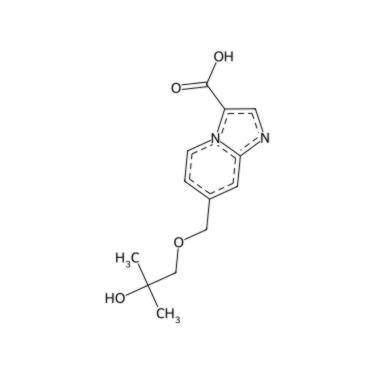 CC(C)(O)COCc1ccn2c(C(=O)O)cnc2c1